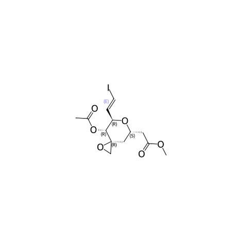 COC(=O)C[C@@H]1C[C@@]2(CO2)[C@H](OC(C)=O)[C@@H](/C=C/I)O1